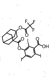 O=C(O)c1c(I)cc(I)c(OC(=O)C23CC4CC(CC(OC(=O)C(F)(F)F)(C4)C2)C3)c1I